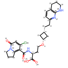 O=C(N[C@@H](CCO[C@H]1C[C@@H](CCc2ccc3c(n2)NCCC3)C1)C(=O)O)c1c(Cl)cc(=O)n2c1CCC2